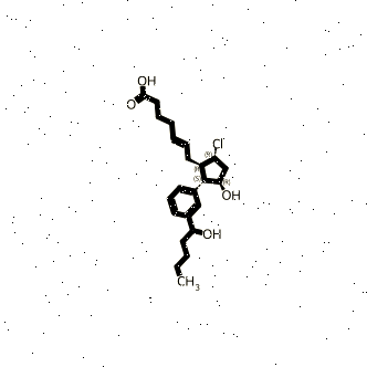 CCCCC(O)c1cccc([C@@H]2[C@@H](CC=CCCCC(=O)O)[C@H](Cl)C[C@H]2O)c1